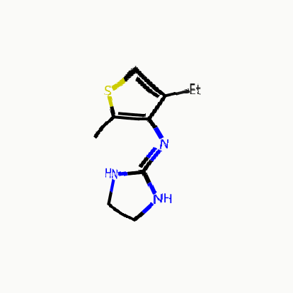 CCc1csc(C)c1N=C1NCCN1